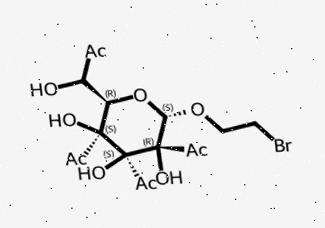 CC(=O)C(O)[C@H]1O[C@H](OCCBr)[C@@](O)(C(C)=O)[C@](O)(C(C)=O)[C@]1(O)C(C)=O